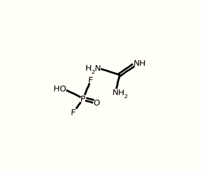 N=C(N)N.O=P(O)(F)F